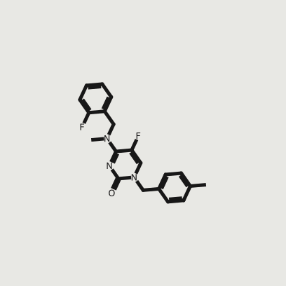 Cc1ccc(Cn2cc(F)c(N(C)Cc3ccccc3F)nc2=O)cc1